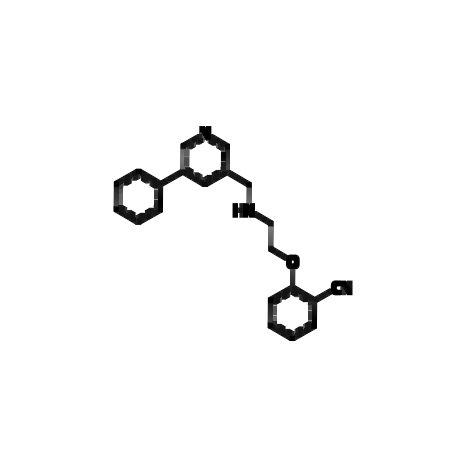 N#Cc1ccccc1OCCNCc1cncc(-c2ccccc2)c1